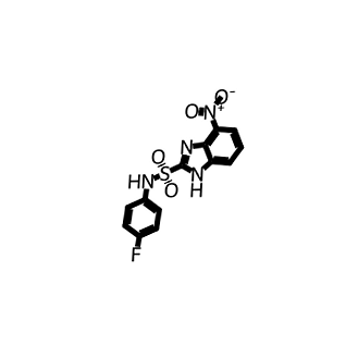 O=[N+]([O-])c1cccc2[nH]c(S(=O)(=O)Nc3ccc(F)cc3)nc12